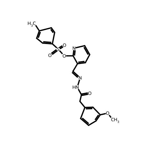 COc1cccc(CC(=O)NN=Cc2cccnc2OS(=O)(=O)c2ccc(C)cc2)c1